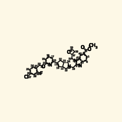 COC(=O)c1ccc2nc(CN3CC4C=C(c5cccc(OCc6ccc(Cl)cc6F)n5)CC4C3)n(C[C@@H]3CCO3)c2c1